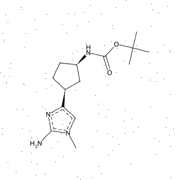 Cn1cc([C@H]2CC[C@@H](NC(=O)OC(C)(C)C)C2)nc1N